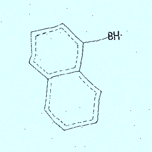 [BH]c1cccc2ccccc12